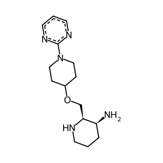 N[C@H]1CCCN[C@H]1COC1CCN(c2ncccn2)CC1